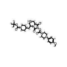 COc1ccc(N2CCN(C(=O)ON3C(=O)C4CNCC(CC5CCN(C(=O)OC(C)(C)C)CC5)N4C3=O)CC2)cc1